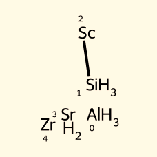 [AlH3].[SiH3][Sc].[SrH2].[Zr]